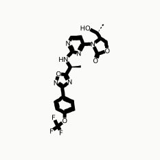 C[C@H](Nc1nccc(N2C(=O)OCC2[C@@H](C)O)n1)c1nc(-c2ccc(OC(F)(F)F)cc2)no1